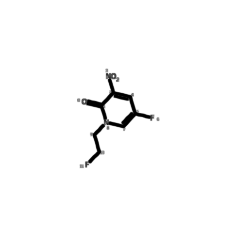 O=c1c([N+](=O)[O-])cc(F)cn1CCF